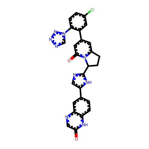 O=c1cnc2cc(-c3cnc(C4CCc5cc(-c6cc(Cl)ccc6-n6cnnn6)cc(=O)n54)[nH]3)ccc2[nH]1